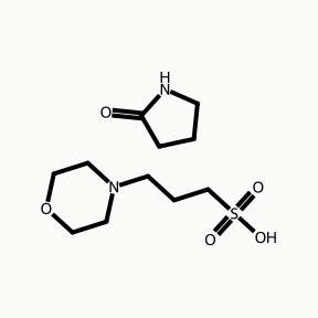 O=C1CCCN1.O=S(=O)(O)CCCN1CCOCC1